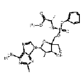 CCNc1nc(C)nc2c1ncn2[C@@H]1O[C@](CCl)(CO[P@](=O)(N[C@@H](C)C(=O)OC(C)C)Oc2ccccc2)[C@@H](O)[C@H]1F